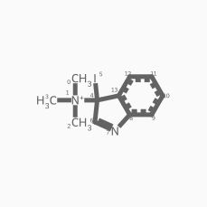 C[N+](C)(C)C1(I)C=Nc2ccccc21